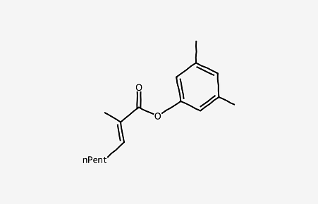 CCCCCC=C(C)C(=O)Oc1cc(C)cc(C)c1